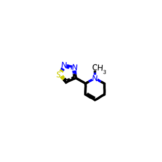 CN1CCC=CC1c1csnn1